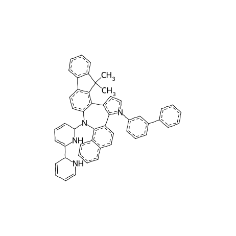 CC1(C)c2ccccc2-c2ccc3c(c21)-c1ccn(-c2cccc(-c4ccccc4)c2)c1-c1ccc2ccccc2c1N3C1C=CC=C(C2C=CC=CN2)N1